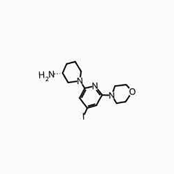 N[C@@H]1CCCN(c2cc(I)cc(N3CCOCC3)n2)C1